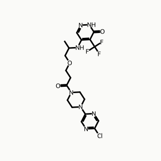 CC(COCCC(=O)N1CCN(c2cnc(Cl)cn2)CC1)Nc1cn[nH]c(=O)c1C(F)(F)F